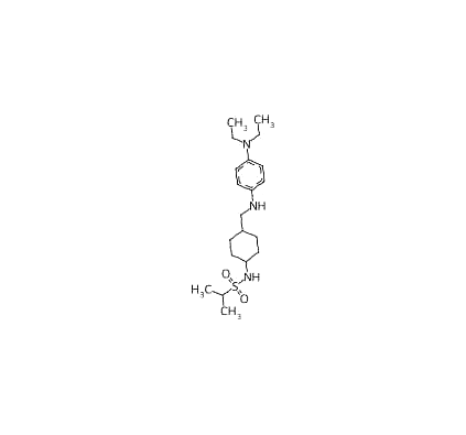 CCN(CC)c1ccc(NCC2CCC(NS(=O)(=O)C(C)C)CC2)cc1